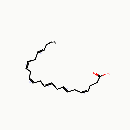 CC/C=C/C/C=C\C/C=C\C/C=C/C/C=C/C/C=C\CCC(=O)O